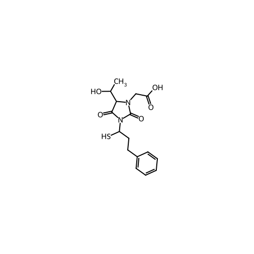 CC(O)C1C(=O)N(C(S)CCc2ccccc2)C(=O)N1CC(=O)O